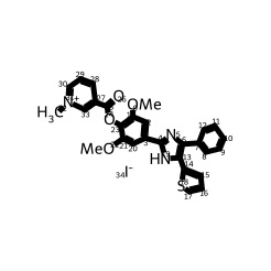 COc1cc(-c2nc(-c3ccccc3)c(-c3cccs3)[nH]2)cc(OC)c1OC(=O)c1ccc[n+](C)c1.[I-]